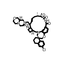 C[C@@H]1[C@@H](C)C/C=C/[C@](O)(CN2CCN3CCOC[C@@H]3C2)[C@@H]2CC[C@H]2CN2C[C@@]3(CCCc4cc(Cl)ccc43)COc3ccc(cc32)C(=O)NS1(=O)=O